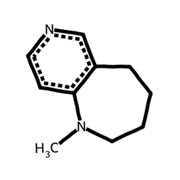 CN1CCCCc2cnccc21